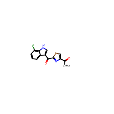 COC(=O)c1csc(C(=O)c2c[nH]c3c(F)cccc23)n1